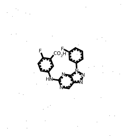 O=C(O)c1cc(Nc2ncc3nnn(-c4cccc(F)c4)c3n2)ccc1F